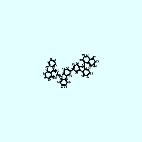 c1ccc2c(c1)Sc1cccc3nc(-n4c5ccccc5c5cc(-c6ccc7c(c6)c6ccccc6n7-c6cccc7ccccc67)ccc54)nc-2c13